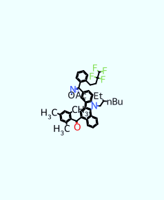 CCCCC(CC)Cn1c2ccc(/C(=N\OC(C)=O)c3ccccc3CCC(F)(F)C(F)F)cc2c2cc(C(=O)c3c(C)cc(C)cc3C)c3ccccc3c21